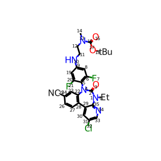 CCN1C(=O)N(c2c(F)cc(NCCN(C)C(=O)OC(C)(C)C)cc2F)c2cc(C#N)ccc2-c2cc(Cl)cnc21